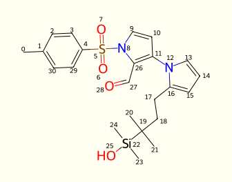 Cc1ccc(S(=O)(=O)n2ccc(-n3cccc3CCC(C)(C)[Si](C)(C)O)c2C=O)cc1